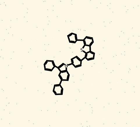 c1ccc(-c2ccc3c(c2)c(-c2ccccc2)cn3-c2ccc(-c3cccc4c3sc3c(-c5ccccc5)cccc34)cc2)cc1